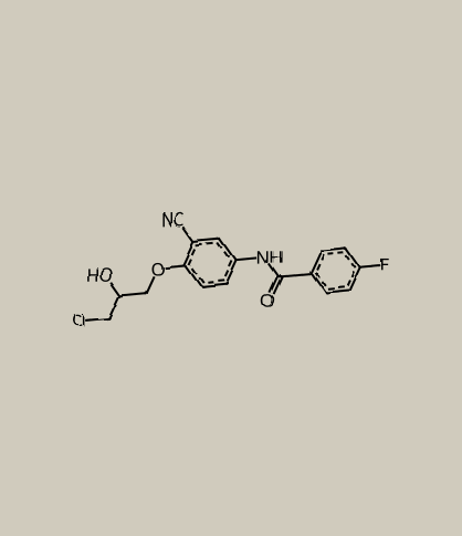 N#Cc1cc(NC(=O)c2ccc(F)cc2)ccc1OCC(O)CCl